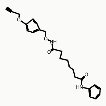 C#CCOc1ccc(CONC(=O)CCCCCCC(=O)Nc2ccccc2)cc1